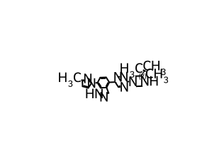 Cc1ccn(-c2ccc(-c3cnc(N4CCN[C@H](C(C)(C)C)C4)nn3)c3cn[nH]c23)n1